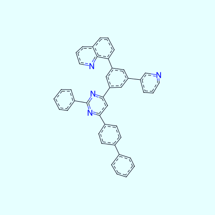 c1ccc(-c2ccc(-c3cc(-c4cc(-c5cccnc5)cc(-c5cccc6cccnc56)c4)nc(-c4ccccc4)n3)cc2)cc1